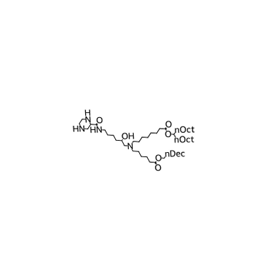 CCCCCCCCCCCOC(=O)CCCCCN(CCCCCCCC(=O)OC(CCCCCCCC)CCCCCCCC)CC(O)CCCCNC(=O)C1CNCCN1